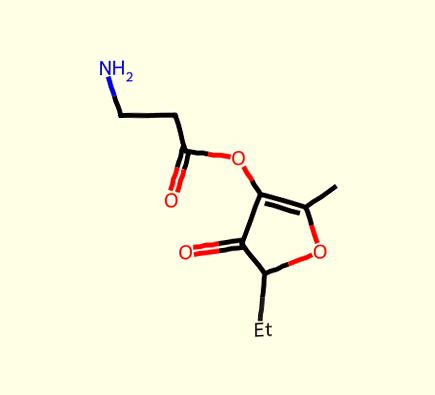 CCC1OC(C)=C(OC(=O)CCN)C1=O